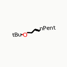 CCCCCC=CCCOC(C)(C)C